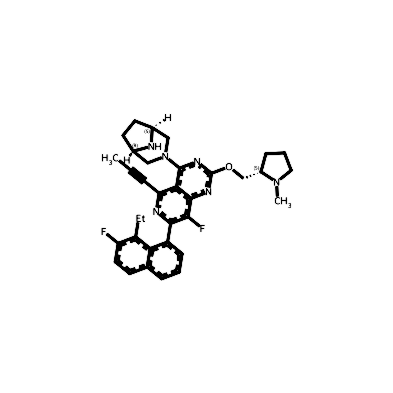 CC#Cc1nc(-c2cccc3ccc(F)c(CC)c23)c(F)c2nc(OC[C@@H]3CCCN3C)nc(N3C[C@H]4CC[C@@H](C3)N4)c12